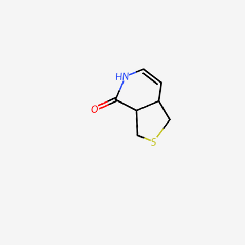 O=C1NC=CC2CSCC12